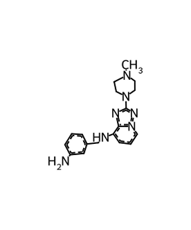 CN1CCN(c2nc3c(NCc4cccc(N)c4)cccn3n2)CC1